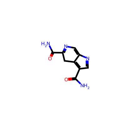 NC(=O)C1=NC=C2N=CC(C(N)=O)=C2C1